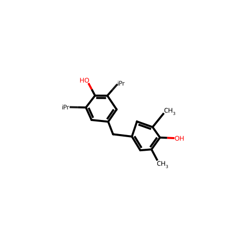 Cc1cc(Cc2cc(C(C)C)c(O)c(C(C)C)c2)cc(C)c1O